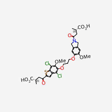 COc1cc2c(cc1OCCCOc1c(OC)c(Cl)c3sc(C(=O)C[C@H](C)C(=O)O)cc3c1Cl)CN(C(=O)C[C@H](C)C(=O)O)C2